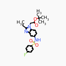 CCc1nc2cc(NS(=O)(=O)c3ccc(F)cc3)ccc2n1CC(=O)OC(C)(C)C